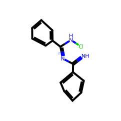 N=C(/N=C(\NCl)c1ccccc1)c1ccccc1